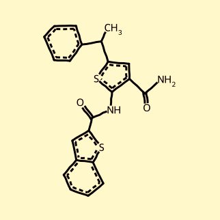 CC(c1ccccc1)c1cc(C(N)=O)c(NC(=O)c2cc3ccccc3s2)s1